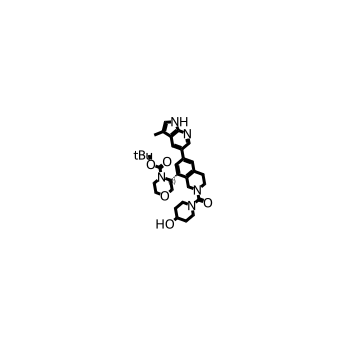 Cc1c[nH]c2ncc(-c3cc4c(c([C@@H]5COCCN5C(=O)OC(C)(C)C)c3)CN(C(=O)N3CCC(O)CC3)CC4)cc12